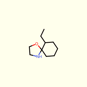 CCC1CCCCC12NCCO2